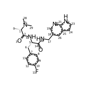 C[C@@H](C(=O)N[C@@H](Cc1ccc(F)cc1)C(=O)NCc1cnc2[nH]ccc2c1)N(C)C